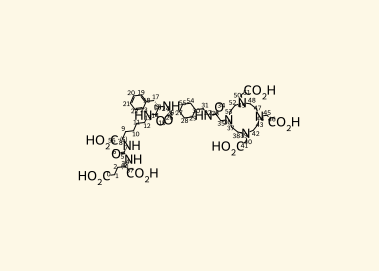 O=C(O)CC[C@H](NC(=O)N[C@@H](CCCCNC(=O)[C@H](Cc1ccccc1)NC(=O)[C@H]1CC[C@H](CNC(=O)CN2CCN(CC(=O)O)CCN(CC(=O)O)CCN(CC(=O)O)CC2)CC1)C(=O)O)C(=O)O